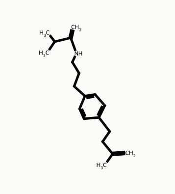 C=C(C)CCc1ccc(CCCNC(=C)C(C)C)cc1